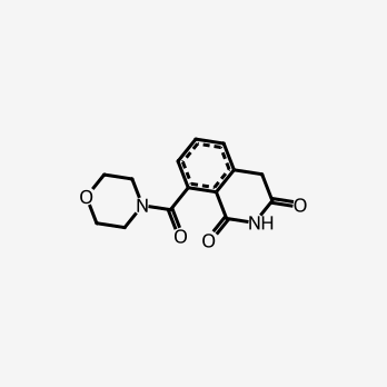 O=C1Cc2cccc(C(=O)N3CCOCC3)c2C(=O)N1